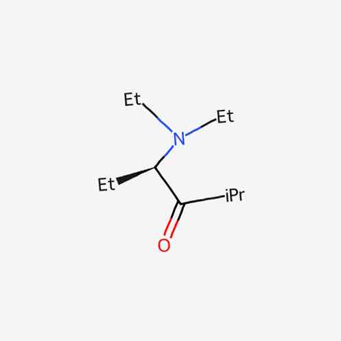 CC[C@H](C(=O)C(C)C)N(CC)CC